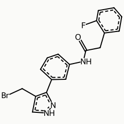 O=C(Cc1ccccc1F)Nc1cccc(-c2n[nH]cc2CBr)c1